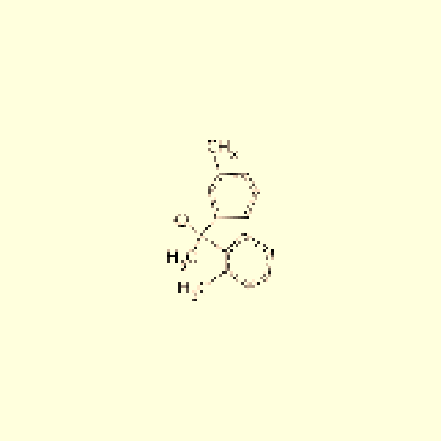 Cc1cccc(C(C)([O])c2ccccc2C)c1